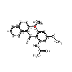 COc1cc(NC(C)=O)c(C(=O)c2c(OC)ccc3ccccc23)c(OC)c1